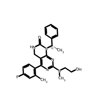 Cc1cc(F)ccc1-c1nc(N(C)CCO)nc2c1CNC(=O)N2[C@@H](C)c1ccccc1